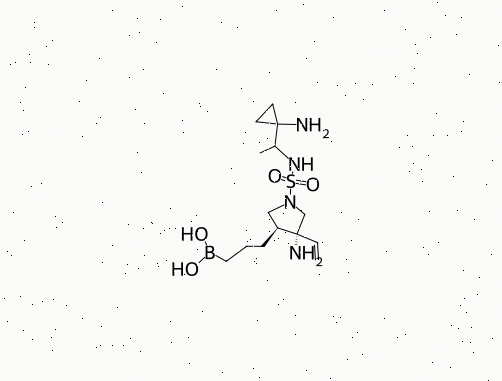 C=C[C@]1(N)CN(S(=O)(=O)NC(C)C2(N)CC2)C[C@@H]1CCCB(O)O